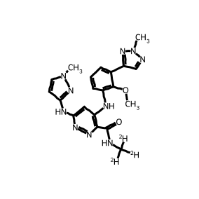 [2H]C([2H])([2H])NC(=O)c1nnc(Nc2ccn(C)n2)cc1Nc1cccc(-c2cnn(C)n2)c1OC